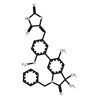 Cc1cc2c(cc1-c1cc(/C=C3/SC(=O)NC3=O)ccc1OC(F)(F)F)N(Cc1ccccc1)C(=O)C2(C)C